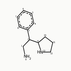 NCC(c1ccccc1)C1CCCN1